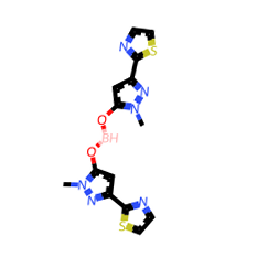 Cn1nc(-c2nccs2)cc1OBOc1cc(-c2nccs2)nn1C